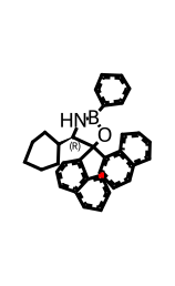 c1ccc(B2N[C@H](C3CCCCC3)C(c3cccc4ccccc34)(c3cccc4ccccc34)O2)cc1